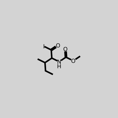 CCC(C)C(NC(=O)OC)C(=O)I